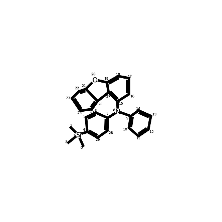 C[Si](C)(C)c1ccc(N(c2ccccc2)c2cccc3oc4ccccc4c23)cc1